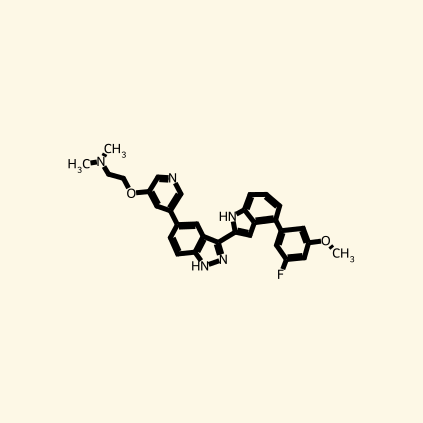 COc1cc(F)cc(-c2cccc3[nH]c(-c4n[nH]c5ccc(-c6cncc(OCCN(C)C)c6)cc45)cc23)c1